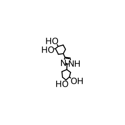 OC1CCC(c2c[nH]c(C3CCC(O)C(O)C3)n2)CC1O